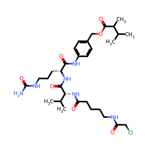 CC(C)C(C)C(=O)OCc1ccc(NC(=O)[C@@H](CCCNC(N)=O)NC(=O)[C@H](NC(=O)CCCCNC(=O)CCl)C(C)C)cc1